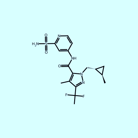 Cc1c(C(C)(F)F)nn(C[C@@H]2C[C@H]2C)c1C(=O)Nc1ccnc(S(N)(=O)=O)c1